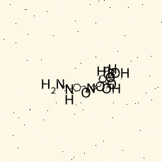 NCCN[C@H]1CC[C@@H](CC(=O)N2CC(Oc3ccc4c(c3C(=O)O)OB(O)[C@@H]3C=C[C@H]43)C2)CC1